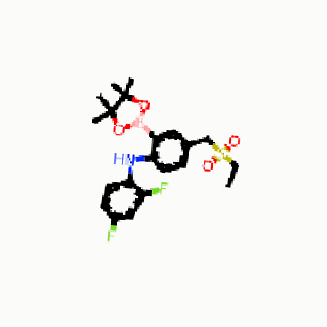 CCS(=O)(=O)Cc1ccc(Nc2ccc(F)cc2F)c(B2OC(C)(C)C(C)(C)O2)c1